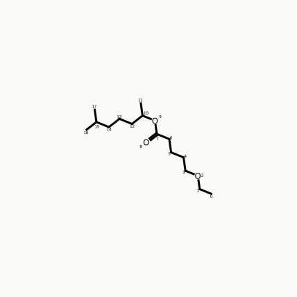 CCOCCCCC(=O)OC(C)CCCC(C)C